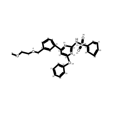 COCCOCc1cccc(-c2cc(Oc3ccccc3)nc(NS(=O)(=O)c3ccccc3)n2)c1